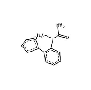 CC(C(N)=O)c1ccccc1-c1ccco1